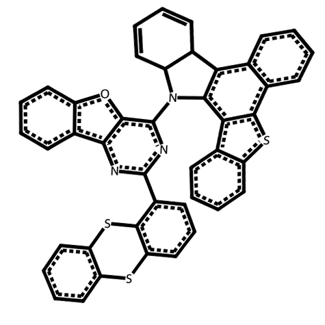 C1=CC2c3c(c4c5ccccc5sc4c4ccccc34)N(c3nc(-c4cccc5c4Sc4ccccc4S5)nc4c3oc3ccccc34)C2C=C1